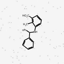 CCCC(Nc1cccc(C(=O)O)c1C)c1ccccc1